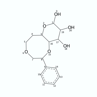 OC1OC2CCOCC(c3ccccc3)OC2C(O)C1O